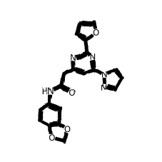 O=C(Cc1cc(-n2cccn2)nc(-c2ccco2)n1)Nc1ccc2c(c1)OCO2